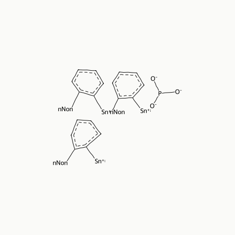 CCCCCCCCCc1cccc[c]1[Sn+].CCCCCCCCCc1cccc[c]1[Sn+].CCCCCCCCCc1cccc[c]1[Sn+].[O-]P([O-])[O-]